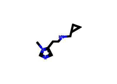 Cn1cncc1CCNCC1CC1